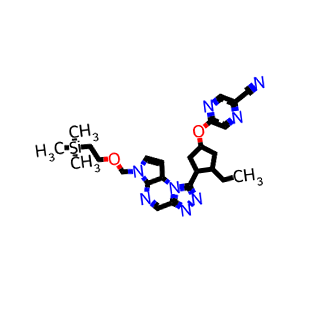 CCC1CC(Oc2cnc(C#N)cn2)CC1c1nnc2n1C1C=CN(COCC[Si](C)(C)C)C1N=C2